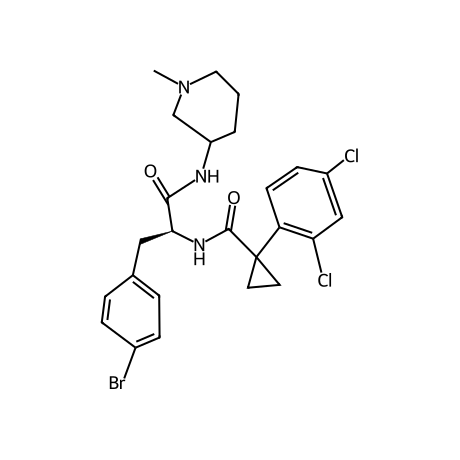 CN1CCCC(NC(=O)[C@H](Cc2ccc(Br)cc2)NC(=O)C2(c3ccc(Cl)cc3Cl)CC2)C1